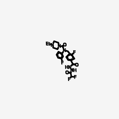 CCN1CCN(C(=O)N(Cc2ccc(C(=O)NNC(=O)C(F)F)cc2F)c2cccc(F)c2)CC1